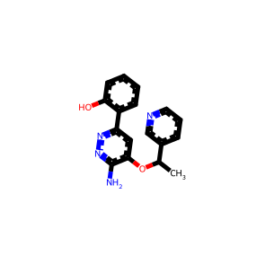 CC(Oc1cc(-c2ccccc2O)nnc1N)c1cccnc1